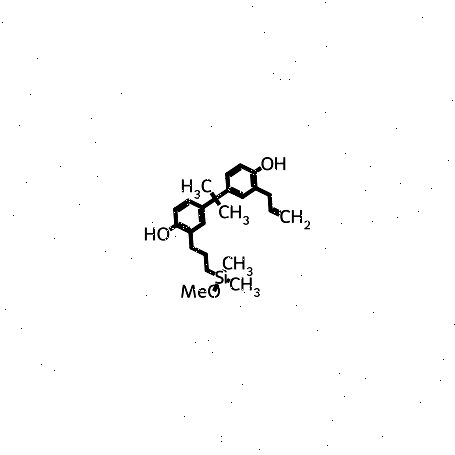 C=CCc1cc(C(C)(C)c2ccc(O)c(CCC[Si](C)(C)OC)c2)ccc1O